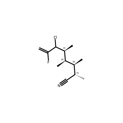 C=C(F)C(Cl)[C@@H](C)[C@H](C)[C@@H](C)[C@H](C)C#N